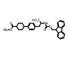 CC(C)(C)OC(=O)C1CCC(c2ccc(CC(NC(=O)OCC3c4ccccc4-c4ccccc43)C(=O)O)cc2)CC1